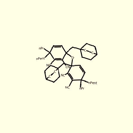 CCCCCC1(CCC)C=CC(CC23CCC(CC2)CC3)(OC2(CC34CCC(CC3)CC4)C=CC(CCC)(CCCCC)C(C#N)=C2C#N)C(C#N)=C1C#N